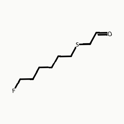 O=CCSCCCCCCF